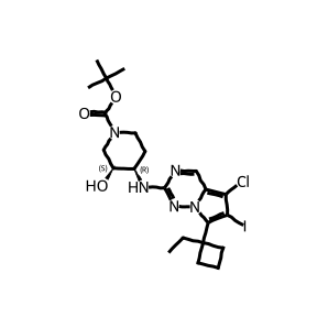 CCC1(c2c(I)c(Cl)c3cnc(N[C@@H]4CCN(C(=O)OC(C)(C)C)C[C@@H]4O)nn23)CCC1